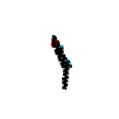 C/C=C/C1OCC(c2ccc(-c3ccc(-c4ccc(CCCCCCCCCC)c(F)c4F)cc3)cc2F)CO1